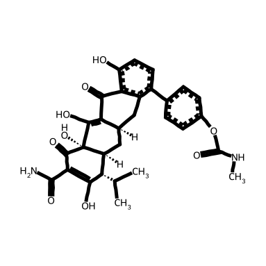 CNC(=O)Oc1ccc(-c2ccc(O)c3c2C[C@H]2C[C@H]4[C@H](C(C)C)C(O)=C(C(N)=O)C(=O)[C@@]4(O)C(O)=C2C3=O)cc1